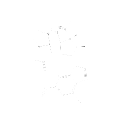 CC(=O)OC(C(C)=O)(C(C)=O)[C@@]1(C(C)=O)O[C@@H](n2cnc3c(N)nc([N+](=O)[O-])nc32)[C@H](O)[C@@]1(O)C(C)=O